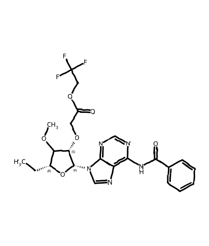 CC[C@H]1O[C@@H](n2cnc3c(NC(=O)c4ccccc4)ncnc32)[C@@H](OCC(=O)OCC(F)(F)F)C1OC